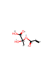 C=CC(=O)OC(C)(O)C(=O)O